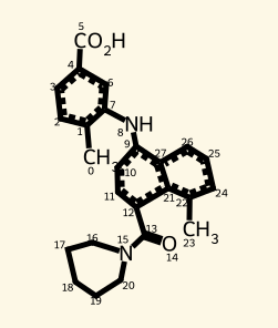 Cc1ccc(C(=O)O)cc1Nc1ccc(C(=O)N2CCCCC2)c2c(C)cccc12